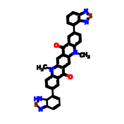 Cn1c2ccc(C3=CC=CC4=NSNC34)cc2c(=O)c2cc3c(cc21)c(=O)c1cc(-c2cccc4nsnc24)ccc1n3C